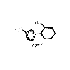 CC(=O)[O-].CC1CCCCC1[n+]1ccn(C)c1